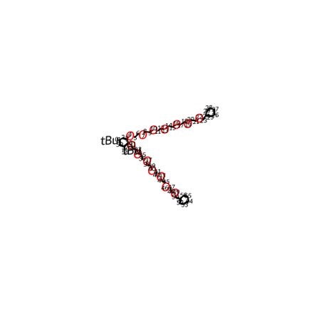 CC(C)(C)c1cc(OCCOCCOCCOCCOCCOCCOCc2ccccc2)c(OCCOCCOCCOCCOCCOCCOCc2ccccc2)c(C(C)(C)C)c1